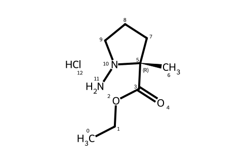 CCOC(=O)[C@@]1(C)CCCN1N.Cl